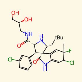 CC(C)(C)C[C@H]1N[C@@H](C(=O)NC[C@H](O)CO)[C@H](c2cccc(Cl)c2)[C@@]12C(=O)NC1=CC(Cl)C(C)(F)C=C12